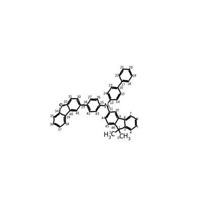 CC1(C)c2ccccc2-c2cc(N(c3ccc(-c4ccccc4)cc3)c3ccc(-c4ccc5sc6ccccc6c5c4)cc3)ccc21